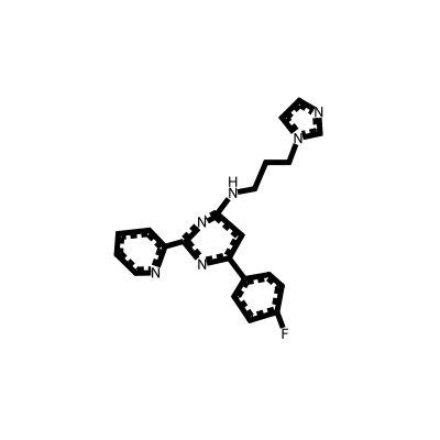 Fc1ccc(-c2cc(NCCCn3ccnc3)nc(-c3ccccn3)n2)cc1